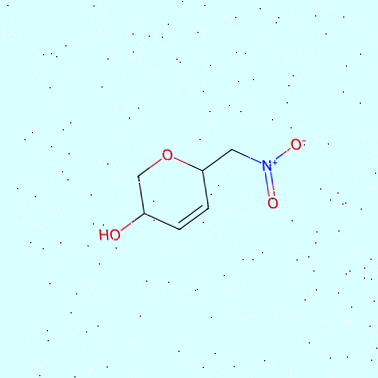 O=[N+]([O-])CC1C=CC(O)CO1